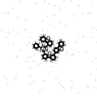 c1ccc(-c2nc(-c3cccc4c3oc3c(-c5ccc6c(c5)oc5ccccc56)cccc34)nc(-c3cccc4oc5ccccc5c34)n2)cc1